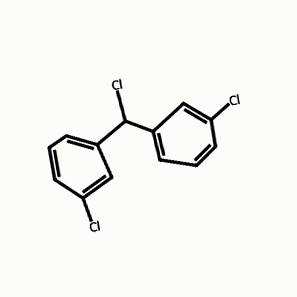 Clc1cccc(C(Cl)c2cccc(Cl)c2)c1